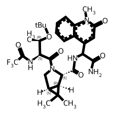 C[C@@H](OC(C)(C)C)[C@H](NC(=O)C(F)(F)F)C(=O)N1C[C@H]2[C@@H]([C@H]1C(=O)NC(C(N)=O)c1cc(=O)n(C)c3ccccc13)C2(C)C